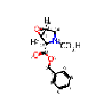 O=C(OCc1ccccc1)[C@@H]1[C@H]2O[C@H]2CN1C(=O)O